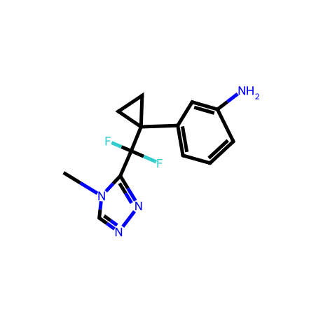 Cn1cnnc1C(F)(F)C1(c2cccc(N)c2)CC1